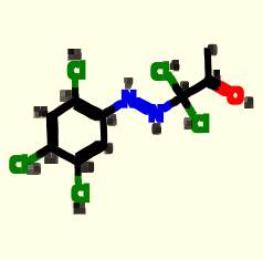 CC(=O)C(Cl)(Cl)N=Nc1cc(Cl)c(Cl)cc1Cl